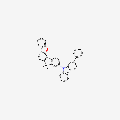 CC1(C)c2cc(-n3c4ccccc4c4ccc(-c5ccccc5)cc43)ccc2-c2c1ccc1c2oc2ccccc21